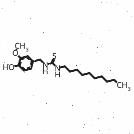 CCCCCCCCCCNC(=S)NCc1ccc(O)c(OC)c1